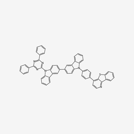 c1ccc(-c2nc(-c3ccccc3)nc(-n3c4ccccc4c4cc(-c5ccc6c(c5)c5ccccc5n6-c5ccc(-c6ccnc7c6sc6ccccc67)cc5)ccc43)n2)cc1